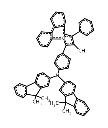 Cc1c(-c2ccccc2)c2c3ccccc3c3ccccc3n2c1-c1ccc(N(c2ccc3c(c2)C(C)(C)c2ccccc2-3)c2ccc3c(c2)C(C)(C)c2ccccc2-3)cc1